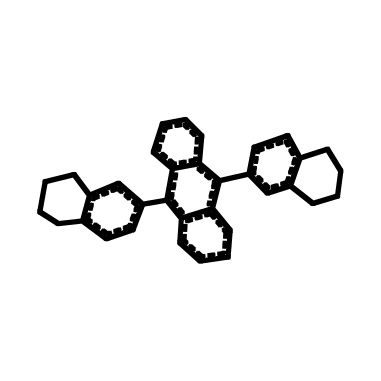 c1ccc2c(-c3ccc4c(c3)CCCC4)c3ccccc3c(-c3ccc4c(c3)CCCC4)c2c1